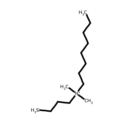 CCCCCCCC[N+](C)(C)CCC[SiH3]